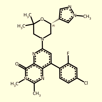 Cc1nc2c(-c3ccc(Cl)cc3F)cc(N3C[C@@H](c4cnn(C)c4)OC(C)(C)C3)nc2c(=O)n1C